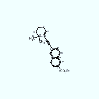 CCOC(=O)c1ccc2cc(C#CC3=CCCCC3(C)C)ccc2c1